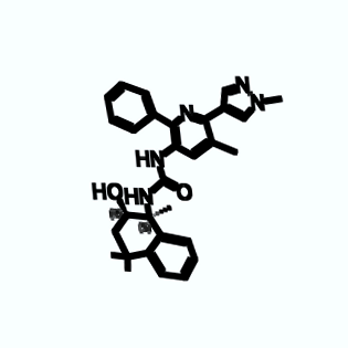 Cc1cc(NC(=O)N[C@@]2(C)c3ccccc3C(C)(C)C[C@H]2O)c(-c2ccccc2)nc1-c1cnn(C)c1